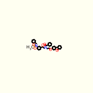 CS(=O)(=O)N(Cc1ccccc1)c1cccc(C(=O)CN(CCOc2ccc3c(c2)oc2ccccc23)C(=O)c2ccccc2)c1